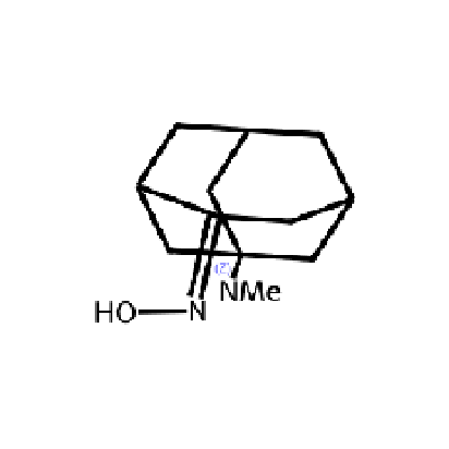 CNC12CC3C/C(=N/O)C(CC(C3)C1)C2